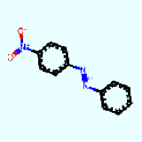 O=[N+]([O-])c1ccc(/N=N/c2cc[c]cc2)cc1